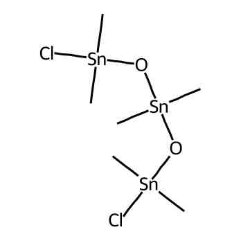 [CH3][Sn]([CH3])([Cl])[O][Sn]([CH3])([CH3])[O][Sn]([CH3])([CH3])[Cl]